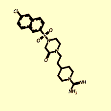 N=C(N)N1CCC(CCN2CCN(S(=O)(=O)c3ccc4cc(Cl)ccc4c3)CC2=O)CC1